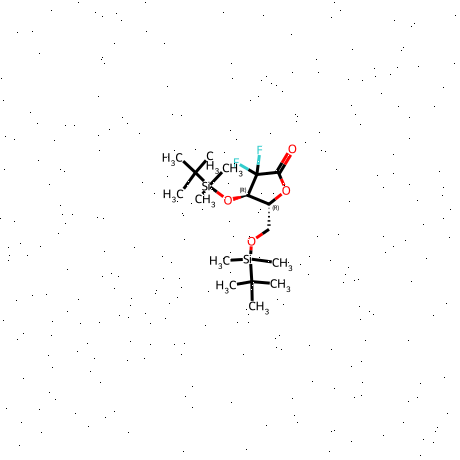 CC(C)(C)[Si](C)(C)OC[C@H]1OC(=O)C(F)(F)[C@@H]1O[Si](C)(C)C(C)(C)C